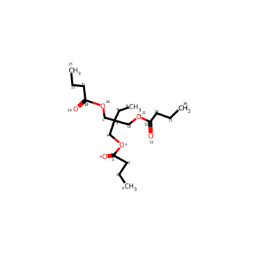 CCCC(=O)OCC(CC)(COC(=O)CCC)COC(=O)CCC